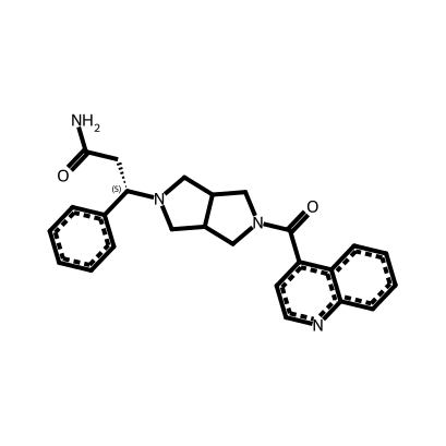 NC(=O)C[C@@H](c1ccccc1)N1CC2CN(C(=O)c3ccnc4ccccc34)CC2C1